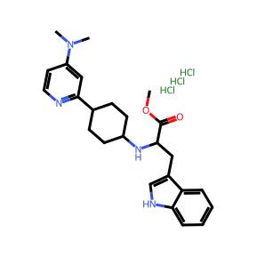 COC(=O)C(Cc1c[nH]c2ccccc12)NC1CCC(c2cc(N(C)C)ccn2)CC1.Cl.Cl.Cl